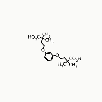 CC(C)(CCOc1cccc(OCCC(C)(C)C(=O)O)c1)C(=O)O